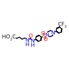 O=C(O)CCCCNC(=O)Nc1ccc(S(=O)(=O)N2CCN(c3cccc(C(F)(F)F)c3)CC2)cc1